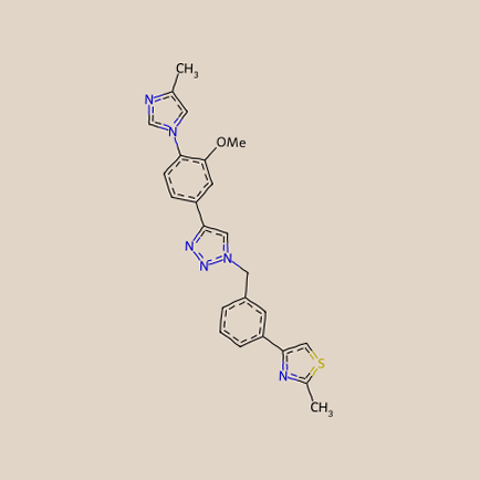 COc1cc(-c2cn(Cc3cccc(-c4csc(C)n4)c3)nn2)ccc1-n1cnc(C)c1